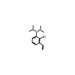 C=Cc1cccc([Si](N(C)C)N(C)C)c1CC